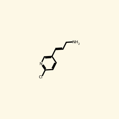 NCC=Cc1ccc(Cl)nc1